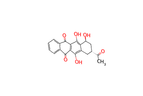 CC(=O)[C@@H]1Cc2c(O)c3c(c(O)c2[C@@H](O)C1)C(=O)c1ccccc1C3=O